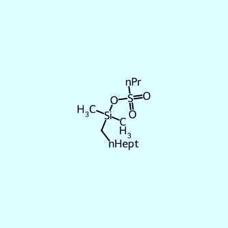 CCCCCCCC[Si](C)(C)OS(=O)(=O)CCC